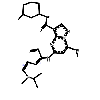 CNc1cc(N/C(C=O)=C/C=C\N(C)C(C)C)nc2c(C(=O)NC3CCCC(C)C3)cnn12